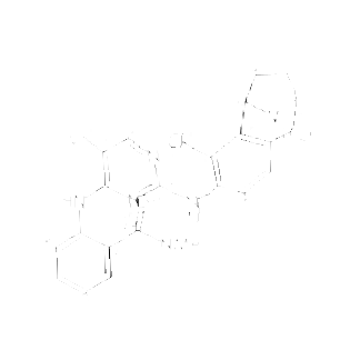 CCOC(=O)N1C2CCC1c1c(ccc(Nc3ncc(Cl)c(Nc4ccccc4C(=O)NC)n3)c1Cl)C2